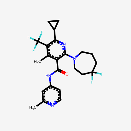 Cc1cc(NC(=O)c2c(N3CCCC(F)(F)CC3)nc(C3CC3)c(C(F)(F)F)c2C)ccn1